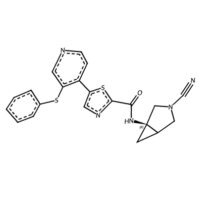 N#CN1CC2C[C@]2(NC(=O)c2ncc(-c3ccncc3Sc3ccccc3)s2)C1